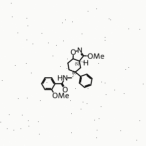 COC1=NOC2CC[C@](CNC(=O)c3ccccc3OC)(c3ccccc3)C[C@H]12